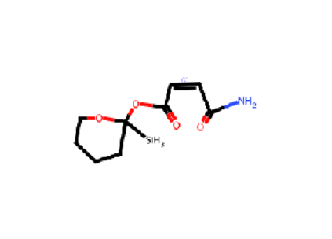 NC(=O)/C=C\C(=O)OC1([SiH3])CCCCO1